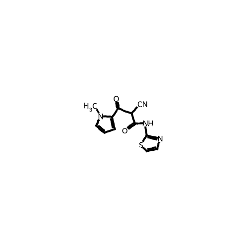 Cn1cccc1C(=O)C(C#N)C(=O)Nc1nccs1